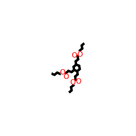 CCCCOC(=O)CCC1CCC(CCC(=O)OCCCC)C(CCC(=O)OCCCC)C1